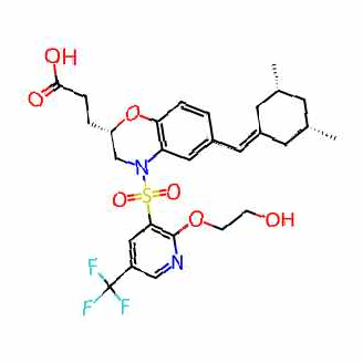 C[C@@H]1C/C(=C/c2ccc3c(c2)N(S(=O)(=O)c2cc(C(F)(F)F)cnc2OCCO)C[C@H](CCC(=O)O)O3)C[C@H](C)C1